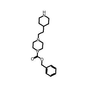 O=C(OCc1ccccc1)N1CCN(CCC2CCNCC2)CC1